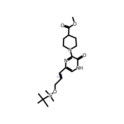 COC(=O)C1CCN(c2nc(/C=C/CO[Si](C)(C)C(C)(C)C)c[nH]c2=O)CC1